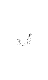 Cc1cc(C(=O)N2CCC(Oc3ccc4c(c3)CCN(C3=CC=C3)CC4)CC2)no1